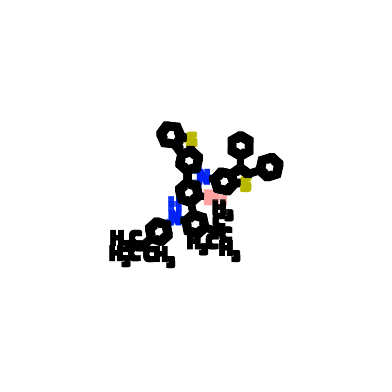 CC(C)(C)c1ccc(Nc2ccc(C(C)(C)C)cc2-c2ccc3c4cc5c(cc4n4c3c2Bc2cc3sc(-c6ccccc6)c(-c6ccccc6)c3cc2-4)sc2ccccc25)cc1